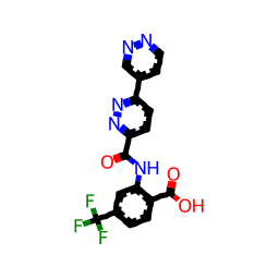 O=C(Nc1cc(C(F)(F)F)ccc1C(=O)O)c1ccc(-c2ccnnc2)nn1